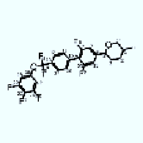 CC1CCC(c2cc(F)c(-c3ccc(C(F)(F)Oc4cc(F)c(F)c(F)c4)cc3)c(F)c2)OC1